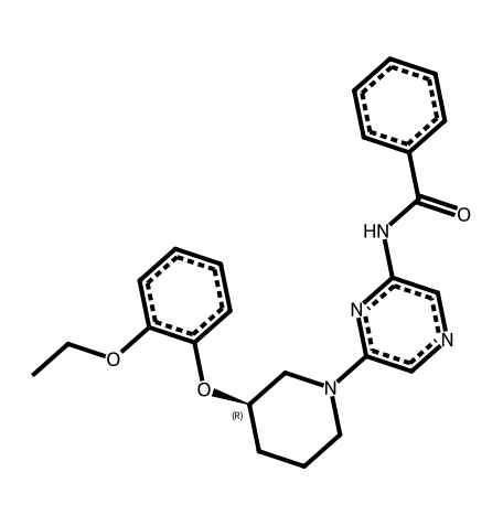 CCOc1ccccc1O[C@@H]1CCCN(c2cncc(NC(=O)c3ccccc3)n2)C1